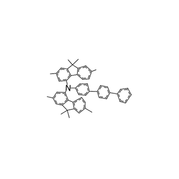 Cc1ccc2c(c1)C(C)(C)c1cc(C)cc(N(c3ccc(-c4ccc(-c5ccccc5)cc4)cc3)c3cc(C)cc4c3-c3ccc(C)cc3C4(C)C)c1-2